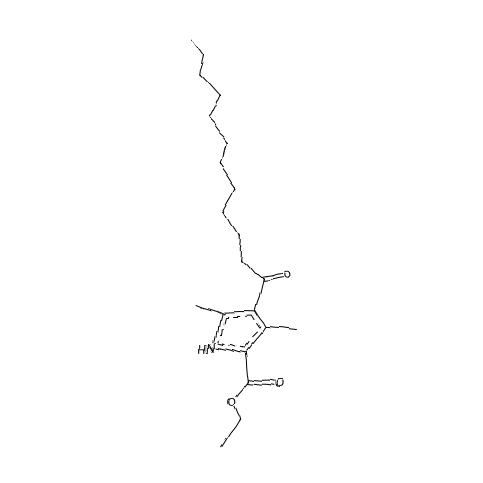 CCCCCCCCCCCC(=O)c1c(C)[nH]c(C(=O)OCC)c1C